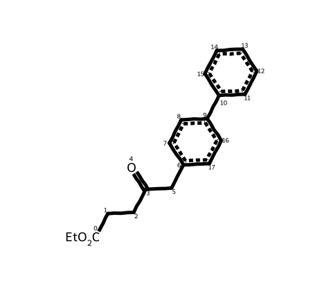 CCOC(=O)CCC(=O)Cc1ccc(-c2ccccc2)cc1